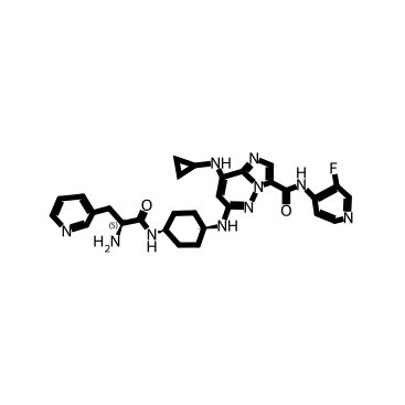 N[C@@H](Cc1cccnc1)C(=O)N[C@H]1CC[C@H](Nc2cc(NC3CC3)c3ncc(C(=O)Nc4ccncc4F)n3n2)CC1